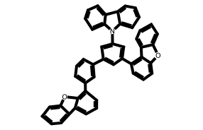 c1cc(-c2cc(-c3cccc4oc5ccccc5c34)cc(-n3c4ccccc4c4ccccc43)c2)cc(-c2cccc3c2oc2ccccc23)c1